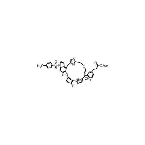 COC(=O)CCc1cccc(C2(C)CCCCCc3nc(cs3)Cc3c(c(F)cc4c3ccn4S(=O)(=O)c3ccc(C)cc3)Oc3ccc(F)c(c3)-c3ncc2[nH]3)c1